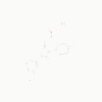 COC(=O)CCc1oc(-c2ccc3c(c2)OCO3)nc1-c1ccc(Cl)cc1